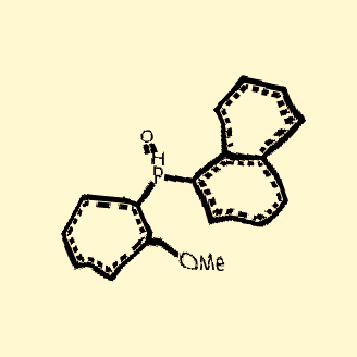 COc1ccccc1[PH](=O)c1cccc2ccccc12